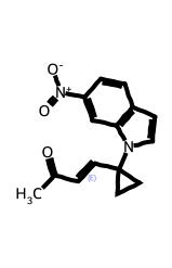 CC(=O)/C=C/C1(n2ccc3ccc([N+](=O)[O-])cc32)CC1